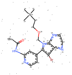 CC(C)(C)C(=O)Nc1cc(-c2c(Br)c3nccnc3n2COCC[Si](C)(C)C)ccn1